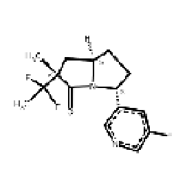 CC(F)(F)[C@]1(C)C[C@H]2CC[C@H](c3cncc(F)c3)N2C1=O